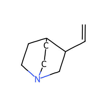 C=CC1CN2CCC1CC2